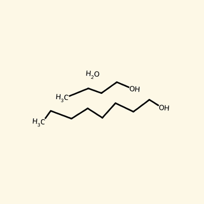 CCCCCCCCO.CCCCO.O